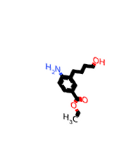 CCOC(=O)c1ccc(N)c(CCCCO)c1